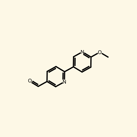 COc1ccc(-c2ccc(C=O)cn2)cn1